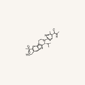 CNC(=O)c1cnc(N2CCn3c(nc4cc(CO)c(S(C)(=O)=O)cc43)[C@@H]2C(C)C)nc1C